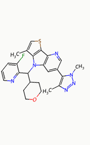 Cc1nnn(C)c1-c1cnc2c3scc(C)c3n(C(c3ncccc3F)C3CCOCC3)c2c1